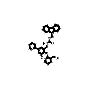 O=C(NCc1cc(-c2ccccn2)cc(Cl)c1Sc1ncccc1CO)OCC1c2ccccc2-c2ccccc21